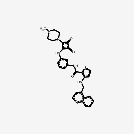 CN1CCN(c2c(Nc3cccc(NC(=O)c4sccc4NCc4ccnc5ccccc45)c3)c(=O)c2=O)CC1